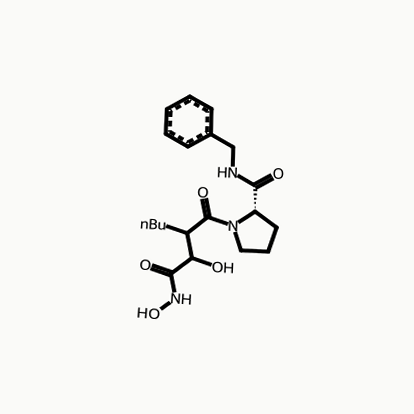 CCCCC(C(=O)N1CCC[C@H]1C(=O)NCc1ccccc1)C(O)C(=O)NO